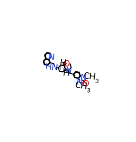 Cn1c(=O)n(C)c2cc(CN3CCO[C@H]4C[C@H](NCc5cccc6cccnc56)CC[C@H]43)ccc21